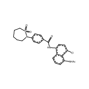 CC(=O)Nc1cccc2c(NC(=O)c3ccc(N4CCCCCS4(=O)=O)cc3)ccc(Cl)c12